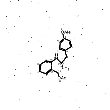 COc1ccc(C[C@H](C)Nc2ccccc2COC(C)=O)cc1